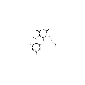 CCOCn1c(Nc2cc(C)cc(C)c2)c(CC)c(=O)[nH]c1=O